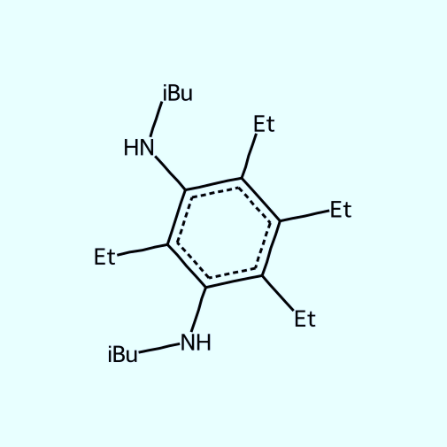 CCc1c(CC)c(NC(C)CC)c(CC)c(NC(C)CC)c1CC